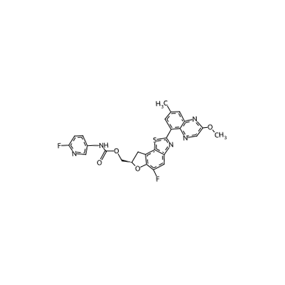 COc1cnc2c(-c3nc4cc(F)c5c(c4s3)C[C@H](COC(=O)Nc3ccc(F)nc3)O5)cc(C)cc2n1